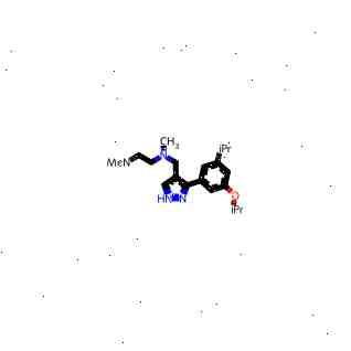 CNCCN(C)Cc1c[nH]nc1-c1cc(OC(C)C)cc(C(C)C)c1